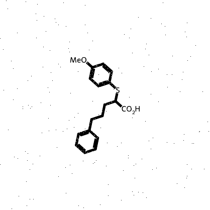 COc1ccc(SC(CCCc2ccccc2)C(=O)O)cc1